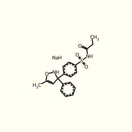 CCC(=O)NS(=O)(=O)c1ccc(C2(c3ccccc3)C=C(C)ON2)cc1.[NaH]